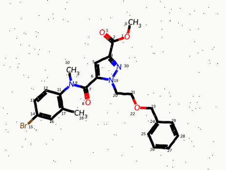 COC(=O)c1cc(C(=O)N(C)c2ccc(Br)cc2C)n(CCOCc2ccccc2)n1